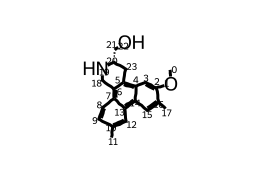 COc1cc2c3c(c4ccc(C)cc4c2cc1C)CN[C@H](CO)C3